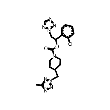 Cc1nnn(CC2CCN(C(=O)OC(Cn3ncnn3)c3ccccc3Cl)CC2)n1